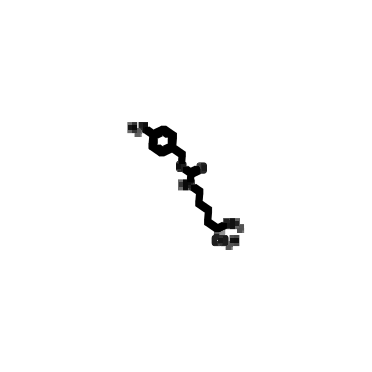 Nc1ccc(COC(=O)NCCCC[C@H](N)C(=O)O)cc1